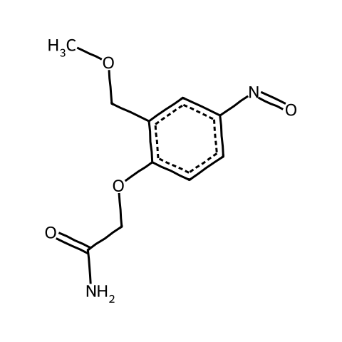 COCc1cc(N=O)ccc1OCC(N)=O